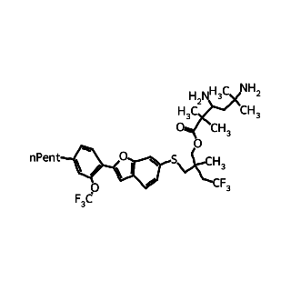 CCCCCc1ccc(-c2cc3ccc(SCC(C)(COC(=O)C(C)(C)C(N)CC(C)(C)N)CC(F)(F)F)cc3o2)c(OC(F)(F)F)c1